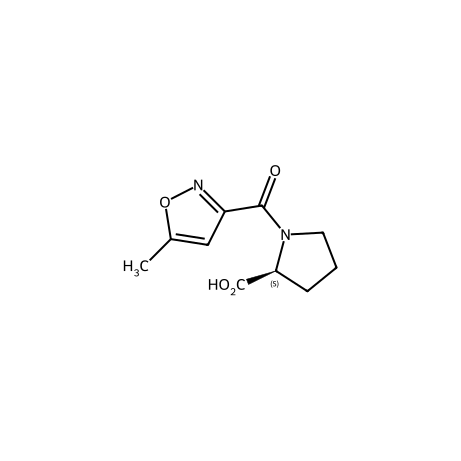 Cc1cc(C(=O)N2CCC[C@H]2C(=O)O)no1